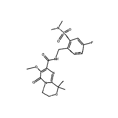 COc1c(C(=O)NCc2ccc(F)cc2S(=O)(=O)N(C)C)nc2n(c1=O)CCOC2(C)C